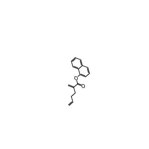 C=CCCC(=C)C(=O)Oc1cccc2ccccc12